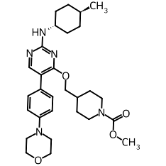 COC(=O)N1CCC(COc2nc(N[C@H]3CC[C@H](C)CC3)ncc2-c2ccc(N3CCOCC3)cc2)CC1